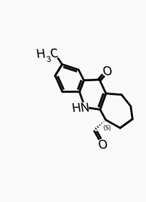 Cc1ccc2[nH]c3c(c(=O)c2c1)CCCC[C@@H]3C=O